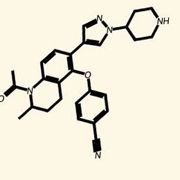 CC(=O)N1c2ccc(-c3cnn(C4CCNCC4)c3)c(Oc3ccc(C#N)cc3)c2CCC1C